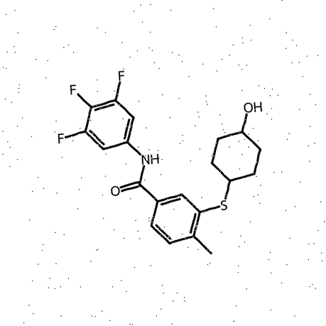 Cc1ccc(C(=O)Nc2cc(F)c(F)c(F)c2)cc1SC1CCC(O)CC1